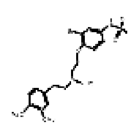 COc1ccc(CCN(C)CCOc2ccc(NS(C)(=O)=O)cc2Br)cc1OC.Cl